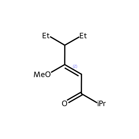 CCC(CC)/C(=C/C(=O)C(C)C)OC